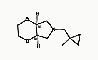 CC1(CN2C[C@@H]3OCCO[C@@H]3C2)CC1